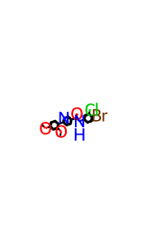 COc1ccc(-c2ccc(C(=O)Nc3ccc(Br)c(Cl)c3)cn2)c(OC)c1